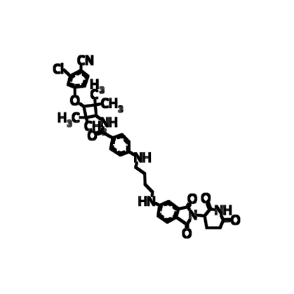 CC1(C)C(NC(=O)c2ccc(NCCCCNc3ccc4c(c3)C(=O)N(C3CCC(=O)NC3=O)C4=O)cc2)C(C)(C)C1Oc1ccc(C#N)c(Cl)c1